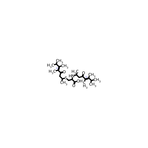 C/C(C(=O)CC(C)NC(CSC(C)CC(=O)/C(C)=C(\C)C(C)C)C(=O)O)=C(/C)C(C)C